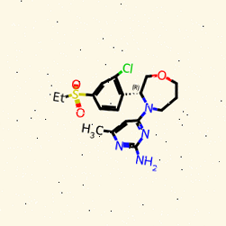 CCS(=O)(=O)c1ccc([C@@H]2COCCCN2c2cc(C)nc(N)n2)c(Cl)c1